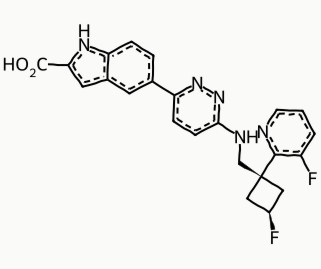 O=C(O)c1cc2cc(-c3ccc(NC[C@]4(c5ncccc5F)C[C@H](F)C4)nn3)ccc2[nH]1